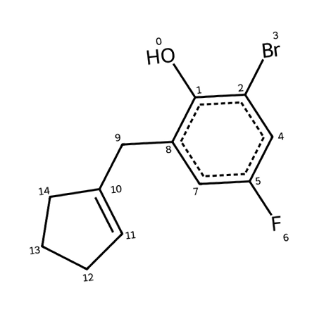 Oc1c(Br)cc(F)cc1CC1=CCCC1